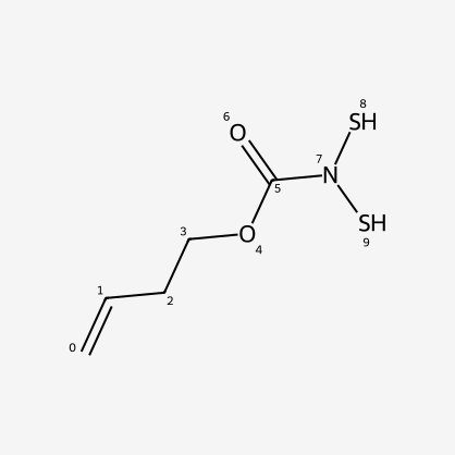 C=CCCOC(=O)N(S)S